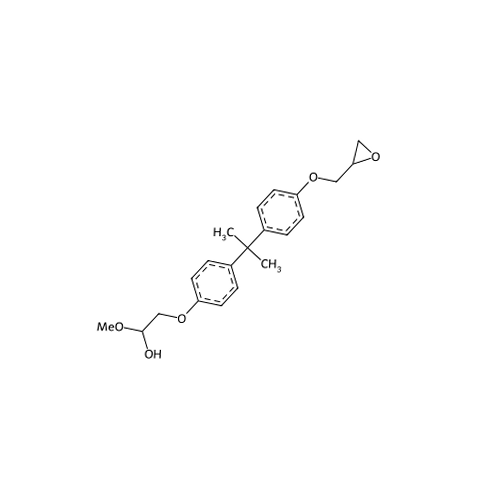 COC(O)COc1ccc(C(C)(C)c2ccc(OCC3CO3)cc2)cc1